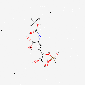 CC(C)(C)OC(=O)N[C@@H](CCC(OS(C)(=O)=O)C(=O)O)C(=O)O